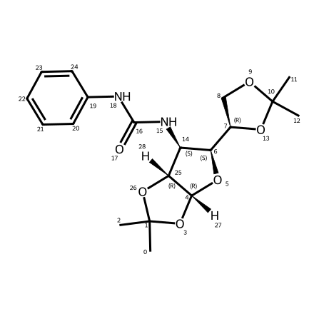 CC1(C)O[C@H]2O[C@H]([C@H]3COC(C)(C)O3)[C@H](NC(=O)Nc3ccccc3)[C@H]2O1